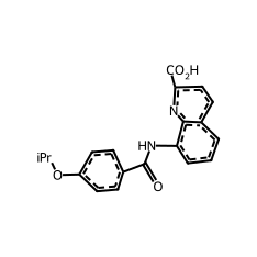 CC(C)Oc1ccc(C(=O)Nc2cccc3ccc(C(=O)O)nc23)cc1